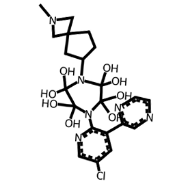 CN1CC2(CCC(N3C(O)(O)C(O)(O)N(c4ncc(Cl)cc4-c4cnccn4)C(O)(O)C3(O)O)C2)C1